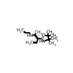 C=CCN/C(C)=C(\C=C)N1NC(C)(C)C(C)(C)O1